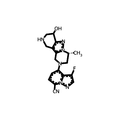 C[C@@H]1CN(c2ccc(C#N)n3ncc(F)c23)Cc2c3c(nn21)C(O)CNC3